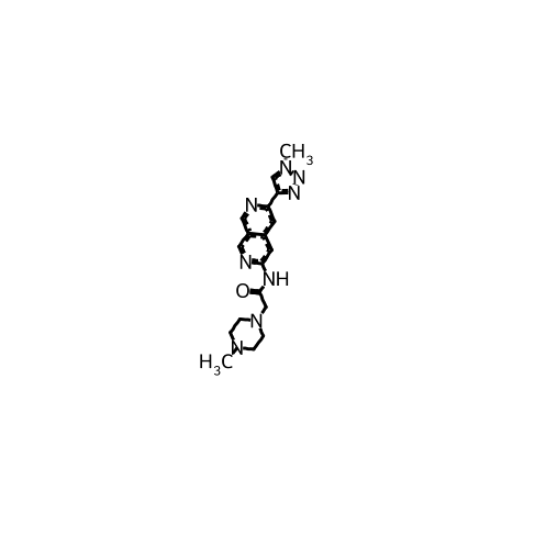 CN1CCN(CC(=O)Nc2cc3cc(-c4cn(C)nn4)ncc3cn2)CC1